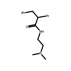 CC(C)CC(C(=O)NCCN(C)C)C(C)C